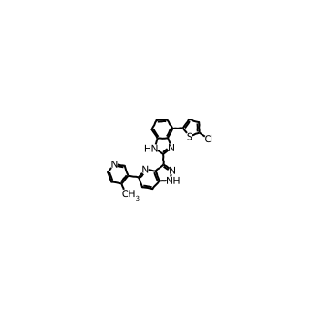 Cc1ccncc1-c1ccc2[nH]nc(-c3nc4c(-c5ccc(Cl)s5)cccc4[nH]3)c2n1